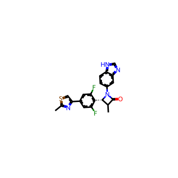 Cc1nc(-c2cc(F)c([C@H]3C(C)C(=O)N3c3ccc4[nH]cnc4c3)c(F)c2)cs1